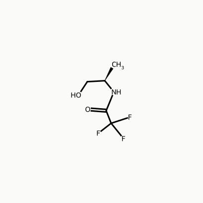 C[C@H](CO)NC(=O)C(F)(F)F